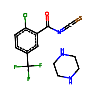 C1CNCCN1.O=C(N=C=S)c1cc(C(F)(F)F)ccc1Cl